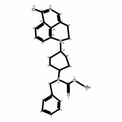 CC(C)(C)OC(=O)N(Cc1ccccc1)C1CCC(N2CCc3cnc(Cl)c4cccc2c34)CC1